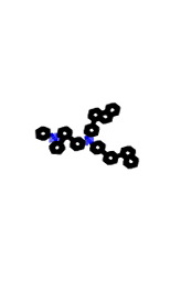 c1ccc(-n2c3ccccc3c3c(-c4cccc(N(c5ccc(-c6cccc(-c7cccc8ccccc78)c6)cc5)c5ccc(-c6cccc7c6ccc6ccccc67)cc5)c4)cccc32)cc1